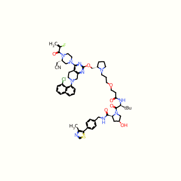 C=C(F)C(=O)N1CCN(c2nc(OC[C@@H]3CCCN3CCCOCCC(=O)N[C@H](C(=O)N3C[C@@H](O)C[C@H]3C(=O)NCc3ccc(-c4scnc4C)cc3)C(C)(C)C)nc3c2CCN(c2cccc4cccc(Cl)c24)C3)C[C@@H]1CC#N